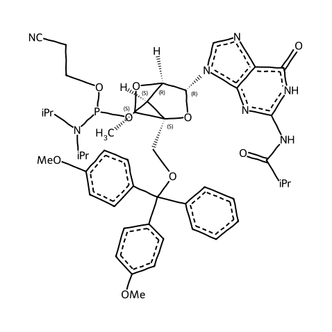 COc1ccc(C(OC[C@]23O[C@@H](n4cnc5c(=O)[nH]c(NC(=O)C(C)C)nc54)[C@H](O[C@H]2C)[C@@H]3OP(OCCC#N)N(C(C)C)C(C)C)(c2ccccc2)c2ccc(OC)cc2)cc1